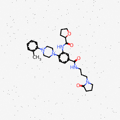 Cc1ccccc1N1CCN(c2ccc(C(=O)NCCCN3CCCC3=O)cc2NC(=O)C2CCCO2)CC1